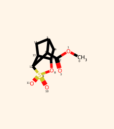 COC(=O)C1C2CC3OS(=O)(=O)C1C3C2